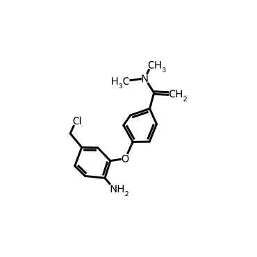 C=C(c1ccc(Oc2cc(CCl)ccc2N)cc1)N(C)C